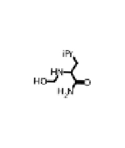 CC(C)CC(NCO)C(N)=O